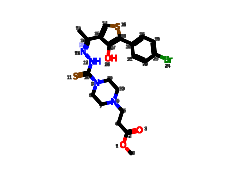 COC(=O)CCN1CCN(C(=S)N/N=C(/C)c2csc(-c3ccc(Br)cc3)c2O)CC1